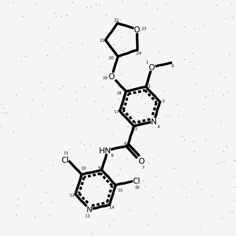 COc1cnc(C(=O)Nc2c(Cl)cncc2Cl)cc1OC1CCOC1